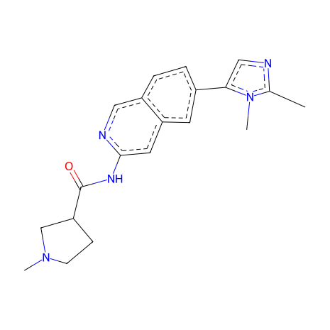 Cc1ncc(-c2ccc3cnc(NC(=O)C4CCN(C)C4)cc3c2)n1C